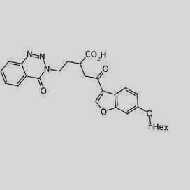 CCCCCCOc1ccc2c(C(=O)CC(CCn3nnc4ccccc4c3=O)C(=O)O)coc2c1